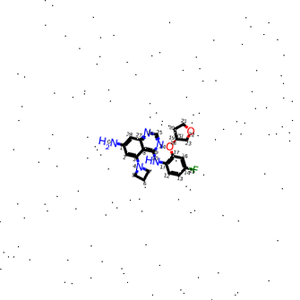 Nc1cc(N2CCC2)c2c(Nc3ccc(F)cc3O[C@H]3CCOC3)ncnc2c1